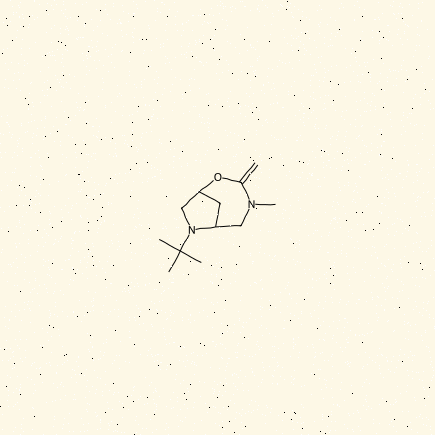 C=C1OC2CC(CN1C)N(C(C)(C)C)C2